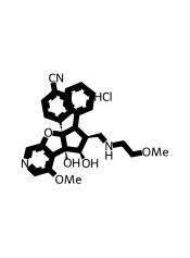 COCCNC[C@@H]1C(c2ccccc2)[C@]2(c3ccc(C#N)cc3)Oc3cncc(OC)c3[C@]2(O)[C@@H]1O.Cl